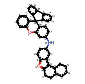 c1ccc2c(c1)Oc1cc(Nc3ccc4oc5ccc6ccccc6c5c4c3)ccc1C21c2ccccc2-c2ccccc21